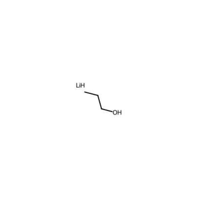 CCCO.[LiH]